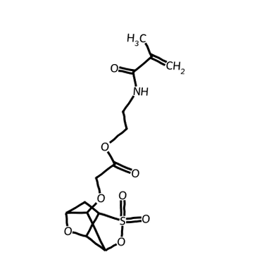 C=C(C)C(=O)NCCOC(=O)COC1C2CC3C(O2)C1OS3(=O)=O